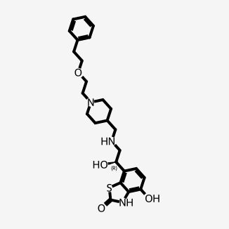 O=c1[nH]c2c(O)ccc([C@@H](O)CNCC3CCN(CCOCCc4ccccc4)CC3)c2s1